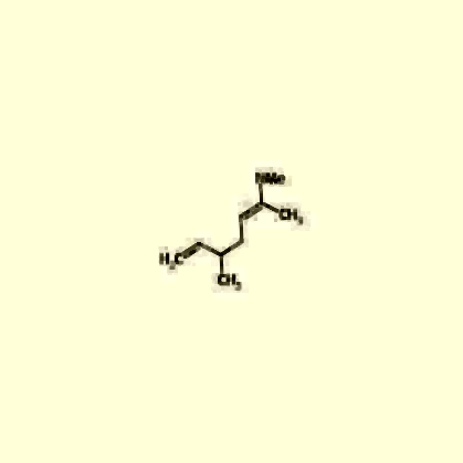 C=CC(C)C/C=C(\C)NC